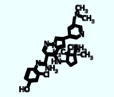 CN(C)Cc1cncc(-c2cc3c(N[C@@H]4CC[C@](C)(N)C4(C)C)c(/C(N)=N/c4ccc(O)cc4Cl)cnn3c2)c1